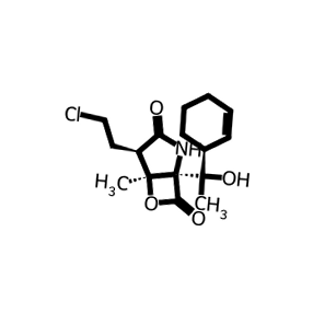 CC(O)([C@@H]1C=CCCC1)[C@@]12NC(=O)[C@H](CCCl)[C@]1(C)OC2=O